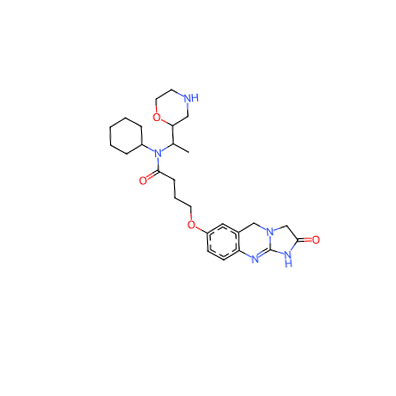 CC(C1CNCCO1)N(C(=O)CCCOc1ccc2c(c1)CN1CC(=O)NC1=N2)C1CCCCC1